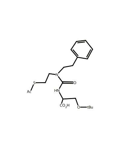 CC(=O)SCCN(CCc1ccccc1)C(=O)NC(COC(C)(C)C)C(=O)O